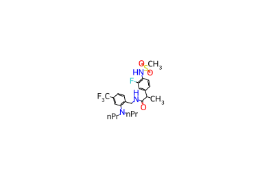 CCCN(CCC)c1cc(C(F)(F)F)ccc1CNC(=O)C(C)c1ccc(NS(C)(=O)=O)c(F)c1